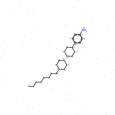 CCCCCCCC[C@H]1CC[C@H](C2CCC(c3ccc(N)cc3)CC2)CC1